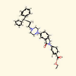 CCOC(=O)c1ccc(N2Cc3ccc(N4CCN(CCC(c5ccccc5)c5ccccc5)CC4)cc3C2=O)cc1